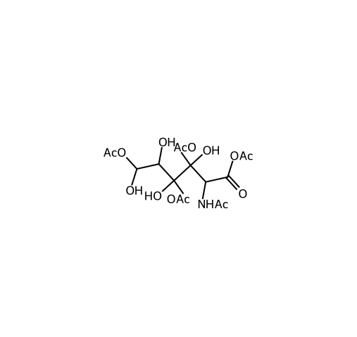 CC(=O)NC(C(=O)OC(C)=O)C(O)(OC(C)=O)C(O)(OC(C)=O)C(O)C(O)OC(C)=O